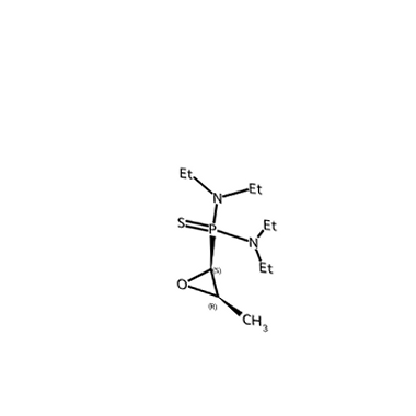 CCN(CC)P(=S)([C@@H]1O[C@@H]1C)N(CC)CC